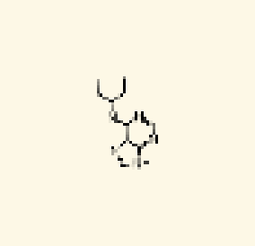 CCC(CC)Nc1ncnc2[nH]cnc12